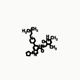 Cc1cc(C)c(CNC(=O)c2cc(C3CCN(CCN(C)C)CC3)cc3c2cnn3C2CCCC2)c(=O)[nH]1